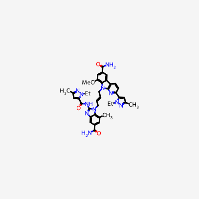 CCn1nc(C)cc1C(=O)Nc1nc2cc(C(N)=O)cc(C)c2n1CC=CCn1c2nc(-c3cc(C)nn3CC)ccc2c2cc(C(N)=O)cc(OC)c21